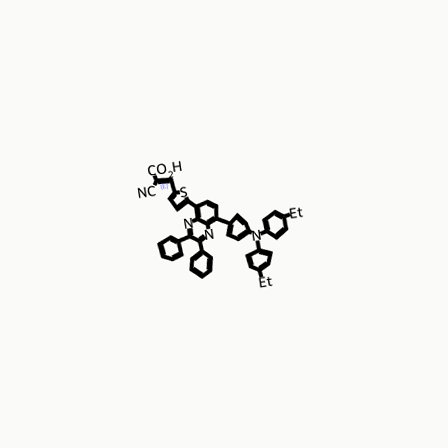 CCc1ccc(N(c2ccc(CC)cc2)c2ccc(-c3ccc(-c4ccc(/C=C(\C#N)C(=O)O)s4)c4nc(-c5ccccc5)c(-c5ccccc5)nc34)cc2)cc1